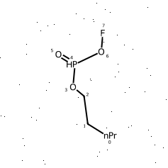 CCCCCO[PH](=O)OF